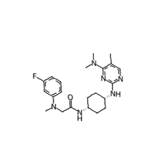 Cc1cnc(N[C@H]2CC[C@@H](NC(=O)CN(C)c3cccc(F)c3)CC2)nc1N(C)C